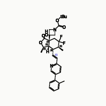 Cc1ccccc1-c1ccc(/C=C/[C@@H]2[C@@H]3[C@@H](C)OC(=O)[C@]3(C3(O)CN(C(=O)OC(C)(C)C)C3)CC(F)(F)[C@H]2C)nc1